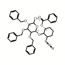 CC1O[C@@H](OC2C(N=[N+]=[N-])CCC[C@H]2OC(=O)c2ccccc2)C(OCc2ccccc2)C(OCc2ccccc2)[C@@H]1OCc1ccccc1